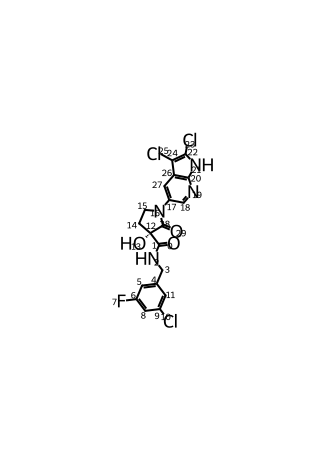 O=C(NCc1cc(F)cc(Cl)c1)[C@@]1(O)CCN(c2cnc3[nH]c(Cl)c(Cl)c3c2)C1=O